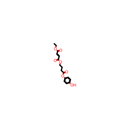 CCOC(=O)C=CC(=O)OCCCC(=O)Oc1ccc(O)cc1